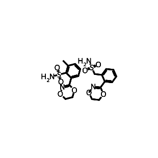 Cc1cccc(C2=NOCCO2)c1S(N)(=O)=O.NS(=O)(=O)Cc1ccccc1C1=NOCCO1